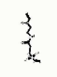 C=C[S+]([O-])CCNC(=O)CCS(=O)(=O)C=C